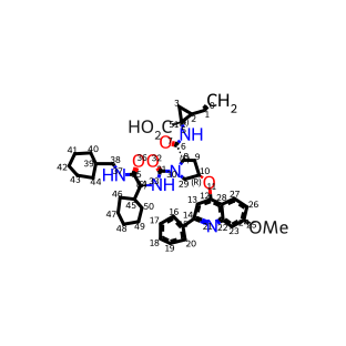 C=CC1C[C@]1(NC(=O)[C@@H]1C[C@@H](Oc2cc(-c3ccccc3)nc3cc(OC)ccc23)CN1C(=O)N[C@H](C(=O)NCC1CCCCC1)C1CCCCC1)C(=O)O